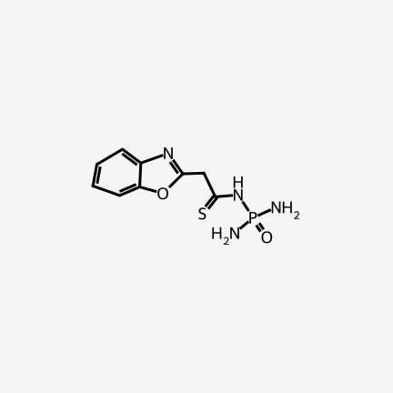 NP(N)(=O)NC(=S)Cc1nc2ccccc2o1